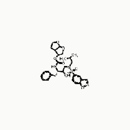 CC(C)CN(CC(O)[C@H](Cc1ccccc1)NC(=O)OC1COC2OCCC12)S(=O)(=O)c1ccc2oncc2c1